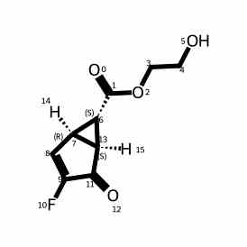 O=C(OCCO)[C@H]1[C@@H]2C=C(F)C(=O)[C@@H]21